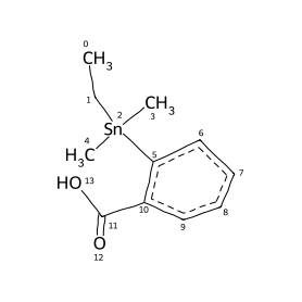 C[CH2][Sn]([CH3])([CH3])[c]1ccccc1C(=O)O